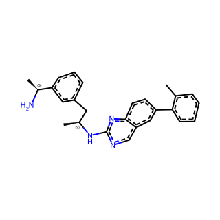 Cc1ccccc1-c1ccc2nc(N[C@@H](C)Cc3cccc([C@H](C)N)c3)ncc2c1